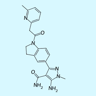 Cc1cccc(CC(=O)N2CCc3cc(-c4nn(C)c(N)c4C(N)=O)ccc32)n1